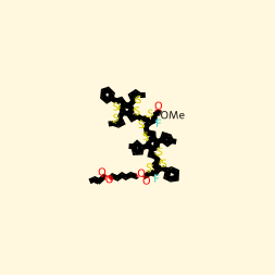 C/C=C/C(=O)OCCCCCCOC(=O)c1sc2c(-c3cc4c(C5=CC=C(C)C5)c5sc(-c6sc(-c7cc8c(-c9ccc(C)s9)c9sc(-c%10ccccc%10)cc9c(-c9ccc(C)s9)c8s7)c7sc(C(=O)OC)c(F)c67)cc5c(C5=CC=C(C)C5)c4s3)sc(-c3ccccc3)c2c1F